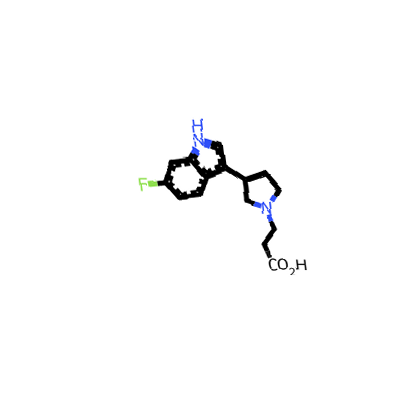 O=C(O)CCN1CCC(c2c[nH]c3cc(F)ccc23)C1